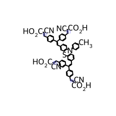 Cc1ccc(N2c3ccc(C=C(c4ccc(/C=C(\C#N)C(=O)O)cc4)c4ccc(/C=C(\C#N)C(=O)O)cc4)cc3Sc3cc(C=C(c4ccc(/C=C(\C#N)C(=O)O)cc4)c4ccc(/C=C(\C#N)C(=O)O)cc4)ccc32)cc1